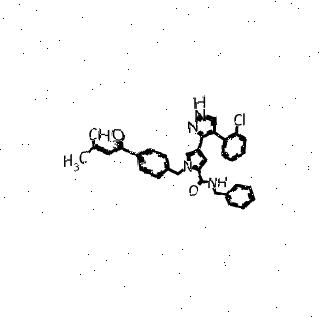 CC(C)=CC(=O)c1ccc(Cn2cc(-c3n[nH]cc3-c3ccccc3Cl)cc2C(=O)NCc2ccccc2)cc1